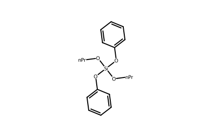 CCCO[Si](OCCC)(Oc1ccccc1)Oc1ccccc1